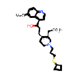 COc1ccc2nccc(C(O)CC[C@@H]3CCN(CCCSC4CCC4)C[C@@H]3CC(=O)O)c2c1